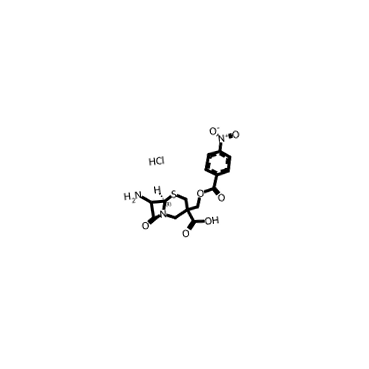 Cl.NC1C(=O)N2CC(COC(=O)c3ccc([N+](=O)[O-])cc3)(C(=O)O)CS[C@H]12